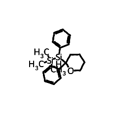 C[Si](C)(C)[SiH](c1ccccc1)C1(c2ccccc2)CCCCO1